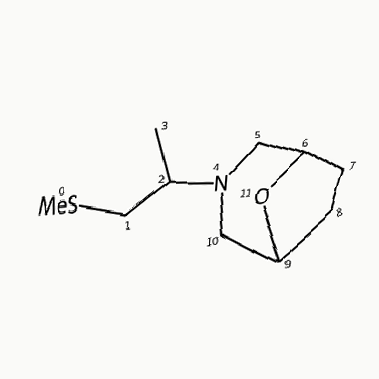 CSCC(C)N1CC2CCC(C1)O2